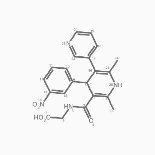 CC1=C(C(=O)NCC(=O)O)C(c2cccc([N+](=O)[O-])c2)C(c2cccnc2)=C(C)N1